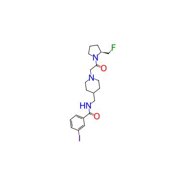 O=C(NCC1CCN(CC(=O)N2CCC[C@H]2CF)CC1)c1cccc(I)c1